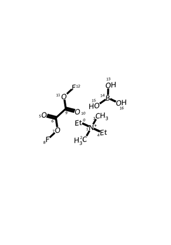 CC[N+](C)(C)CC.O=C(OF)C(=O)OF.OB(O)O